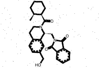 C[C@H]1CCCC[C@H]1C(=O)N1CCc2ccc(CO)cc2[C@H]1CN1C(=O)c2ccccc2C1=O